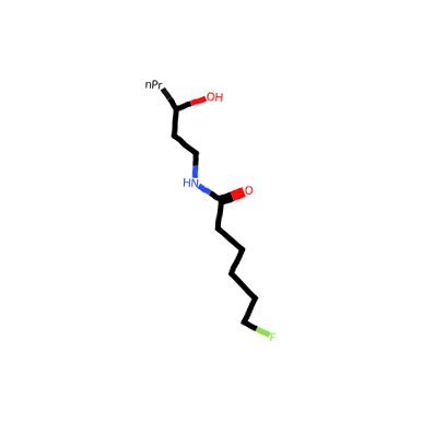 CCCC(O)CCNC(=O)CCCCCF